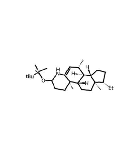 CC[C@H]1CC[C@H]2[C@@H]3[C@@H](C)C=C4NC(O[Si](C)(C)C(C)(C)C)CC[C@]4(C)[C@H]3CC[C@]12C